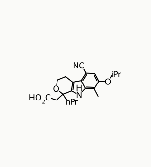 CCCC1(CC(=O)O)OCCc2c1[nH]c1c(C)c(OC(C)C)cc(C#N)c21